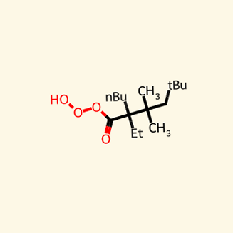 CCCCC(CC)(C(=O)OOO)C(C)(C)CC(C)(C)C